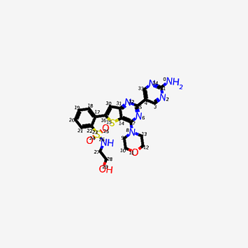 Nc1ncc(-c2nc(N3CCOCC3)c3sc(-c4ccccc4S(=O)(=O)NCCO)cc3n2)cn1